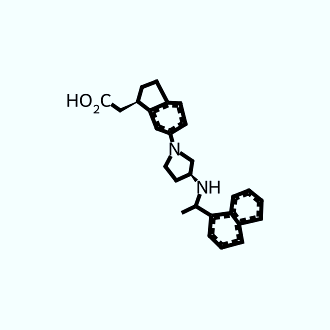 CC(N[C@H]1CCN(c2ccc3c(c2)[C@@H](CC(=O)O)CC3)C1)c1cccc2ccccc12